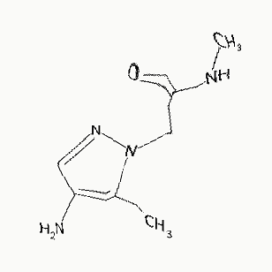 CNC(=O)Cn1ncc(N)c1C